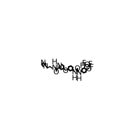 O=C(Nc1cccc(Oc2ccnc(C(=O)NCCCn3ccnc3)c2)c1)Nc1ccc2c(c1)C(F)(F)OC(F)(F)O2